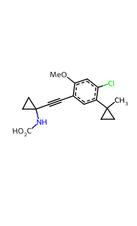 COc1cc(Cl)c(C2(C)CC2)cc1C#CC1(NC(=O)O)CC1